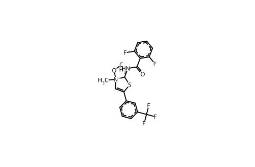 CO[N+]1(C)C=C(c2cccc(C(F)(F)F)c2)SC1NC(=O)c1c(F)cccc1F